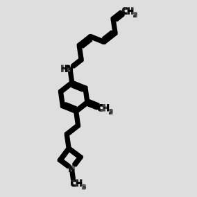 C=C/C=C\C=C/CNC1=CC(=C)C(CCC2CN(C)C2)=CC1